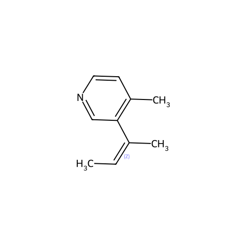 C/C=C(/C)c1cnccc1C